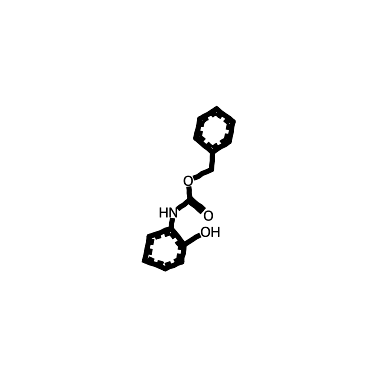 O=C(Nc1ccccc1O)OCc1ccccc1